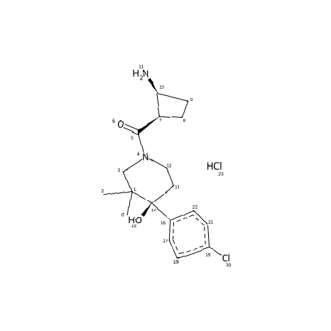 CC1(C)CN(C(=O)[C@@H]2CC[C@@H]2N)CC[C@]1(O)c1ccc(Cl)cc1.Cl